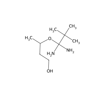 CC(CCO)OC(N)(N)C(C)(C)C